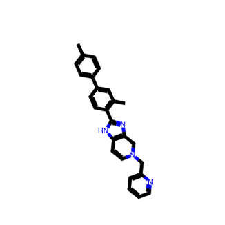 Cc1ccc(-c2ccc(-c3nc4c([nH]3)C=CN(Cc3ccccn3)C4)c(C)c2)cc1